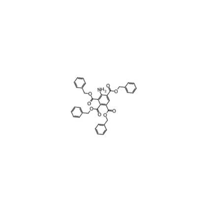 Nc1c(C(=O)OCc2ccccc2)cc(C(=O)OCc2ccccc2)c(C(=O)OCc2ccccc2)c1C(=O)OCc1ccccc1